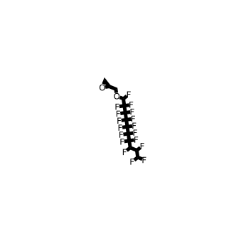 FC(F)C(F)C(F)C(F)(F)C(F)(F)C(F)(F)C(F)(F)C(F)(F)C(F)(F)C(F)OCC1CO1